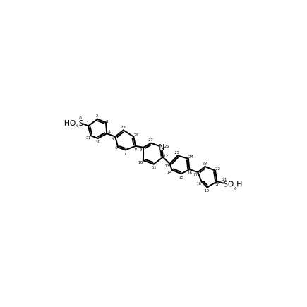 O=S(=O)(O)c1ccc(-c2ccc(-c3ccc(-c4ccc(-c5ccc(S(=O)(=O)O)cc5)cc4)nc3)cc2)cc1